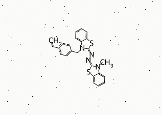 C=Cc1ccc(Cn2c(=NN=c3sc4ccccc4n3C)sc3ccccc32)cc1